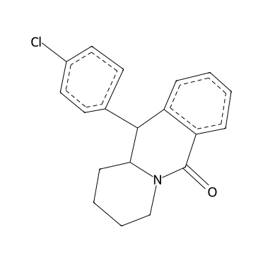 O=C1c2ccccc2C(c2ccc(Cl)cc2)C2CCCCN12